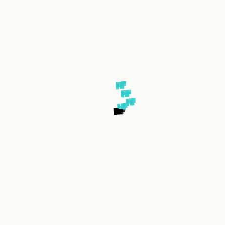 F.F.F.F.[Re]